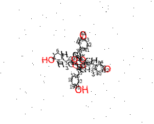 C[Si]1(CCC2CCCC(O)C2)O[Si](C)(CCC2CCCC(O)C2)O[Si](C)(CCC2CCC3OC3C2)O[Si](C)(CCC2CCC3OC3C2)O1